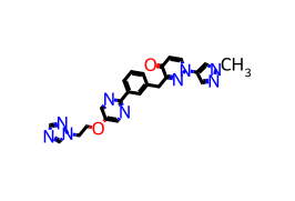 Cn1cc(-n2ccc(=O)c(Cc3cccc(-c4ncc(OCCn5cncn5)cn4)c3)n2)cn1